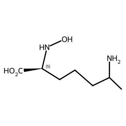 CC(N)CCC[C@H](NO)C(=O)O